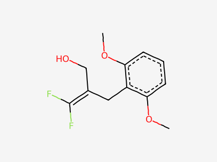 COc1cccc(OC)c1CC(CO)=C(F)F